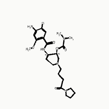 COc1cc(N)c(Cl)cc1C(=O)N[C@@H]1CCN(CCCC(=O)N2CCCC2)C[C@@H]1OC(=O)N(C)C